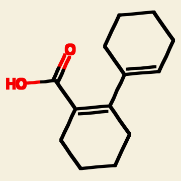 O=C(O)C1=C(C2=CCCCC2)CCCC1